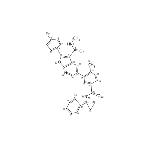 CNC(=O)c1c(-c2ccc(F)cc2)oc2ncc(-c3cc(C(=O)NC4(c5ccccn5)CC4)ccc3C)cc12